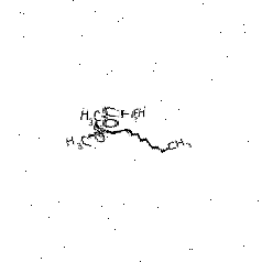 CCCCCCCCCC[Si](CC)(OCC)OCC.F